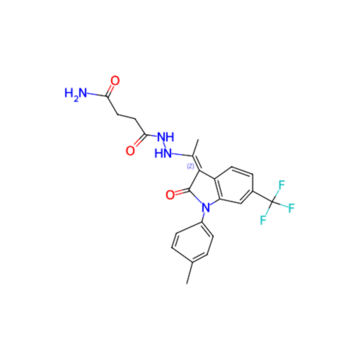 C/C(NNC(=O)CCC(N)=O)=C1/C(=O)N(c2ccc(C)cc2)c2cc(C(F)(F)F)ccc21